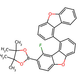 CC1(C)OB(c2ccc3oc4cccc(-c5cccc6oc7ccccc7c56)c4c3c2F)OC1(C)C